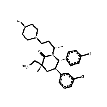 CC(=O)N1CCN(CC[C@H](C)N2C(=O)[C@@](C)(CC(=O)O)C[C@H](c3cccc(Cl)c3)[C@H]2c2ccc(Cl)cc2)CC1